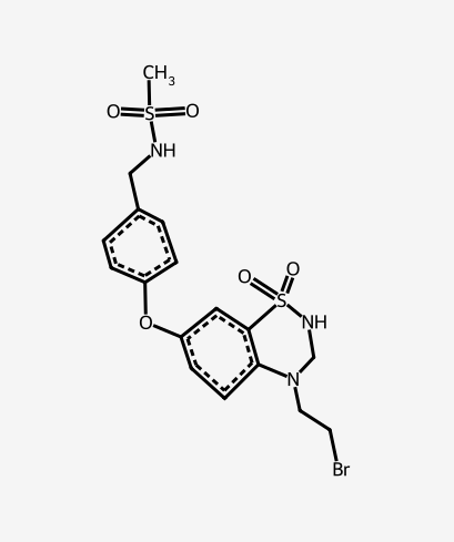 CS(=O)(=O)NCc1ccc(Oc2ccc3c(c2)S(=O)(=O)NCN3CCBr)cc1